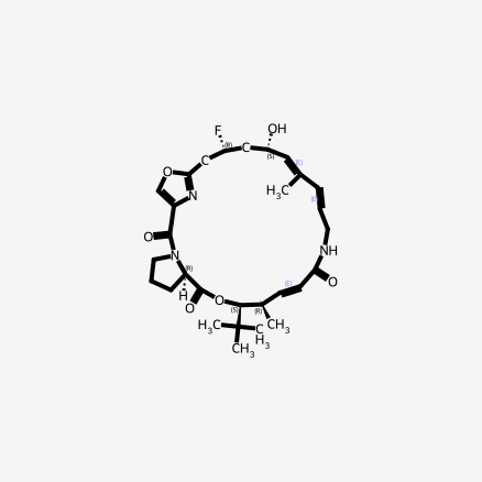 CC1=C\[C@@H](O)C[C@@H](F)Cc2nc(co2)C(=O)N2CCC[C@@H]2C(=O)O[C@H](C(C)(C)C)[C@H](C)/C=C/C(=O)NC\C=C\1